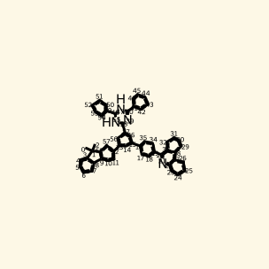 CC1(C)c2ccccc2-c2ccc(-c3cc(-c4ccc(-c5nc6ccccc6c6ccccc56)cc4)cc(C4N=C(c5ccccc5)NC(c5ccccc5)N4)c3)cc21